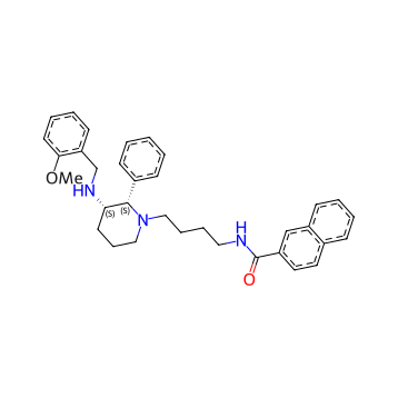 COc1ccccc1CN[C@H]1CCCN(CCCCNC(=O)c2ccc3ccccc3c2)[C@H]1c1ccccc1